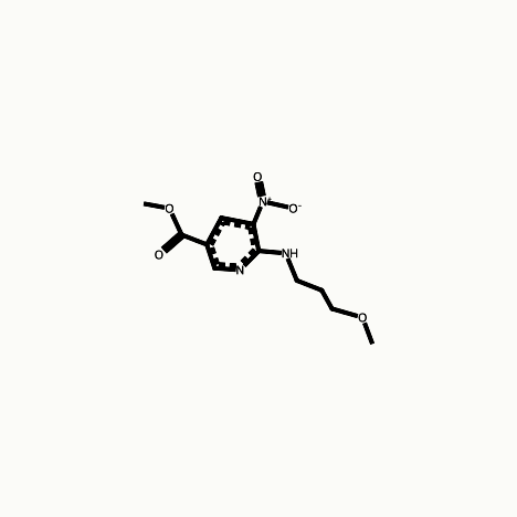 COCCCNc1ncc(C(=O)OC)cc1[N+](=O)[O-]